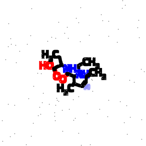 C=C/C=C\C(=C)C(NCC)C(=O)NC(CC)C(=O)O